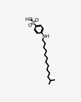 CC(C)CCCCCCCCCCCNc1ccc(S(=O)(=O)O)cc1